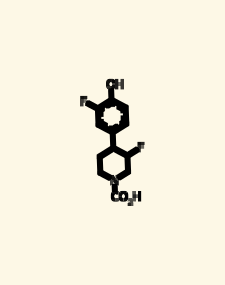 O=C(O)N1CCC(c2ccc(O)c(F)c2)C(F)C1